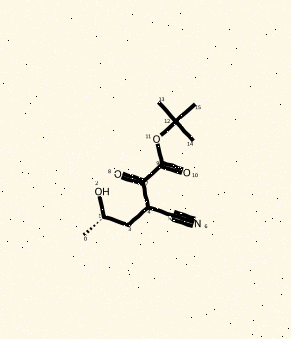 C[C@H](O)CC(C#N)C(=O)C(=O)OC(C)(C)C